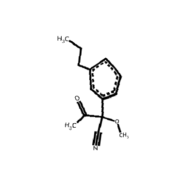 CCCc1cccc(C(C#N)(OC)C(C)=O)c1